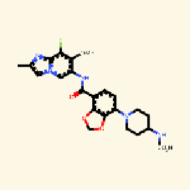 COc1c(NC(=O)c2ccc(N3CCC(NC(=O)O)CC3)c3c2OCO3)cn2cc(C)nc2c1F